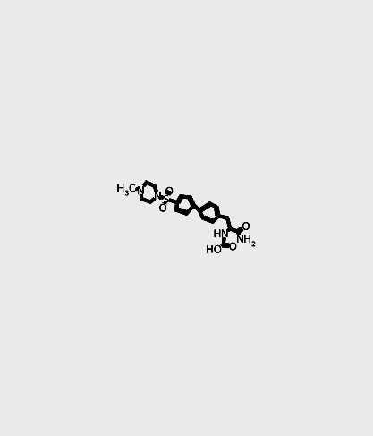 CN1CCN(S(=O)(=O)c2ccc(-c3ccc(CC(NC(=O)O)C(N)=O)cc3)cc2)CC1